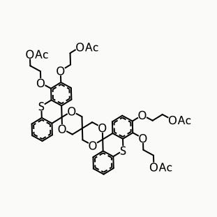 CC(=O)OCCOc1ccc2c(c1OCCOC(C)=O)Sc1ccccc1C21OCC2(CO1)COC1(OC2)c2ccccc2Sc2c1ccc(OCCOC(C)=O)c2OCCOC(C)=O